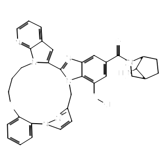 COc1cc(C(=O)N2CC3CCC2[C@@H]3N)cc2nc3n(c12)Cc1ccn(n1)-c1ccccc1OCCCn1c-3cc2cccnc21